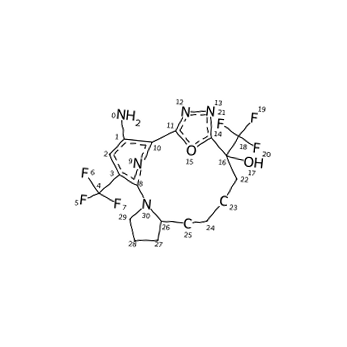 Nc1cc(C(F)(F)F)c2nc1-c1nnc(o1)C(O)(C(F)(F)F)CCCCC1CCCN21